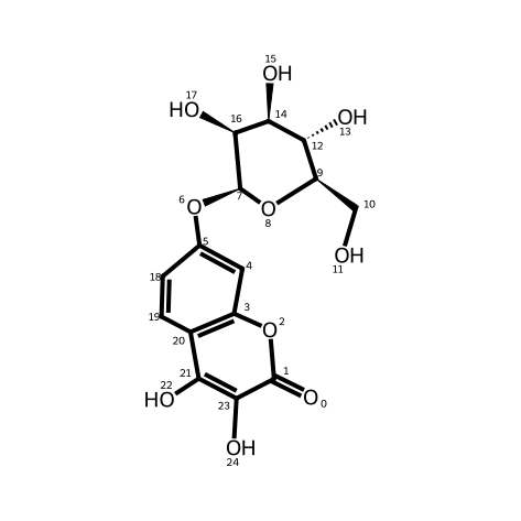 O=c1oc2cc(O[C@@H]3O[C@H](CO)[C@@H](O)[C@H](O)[C@@H]3O)ccc2c(O)c1O